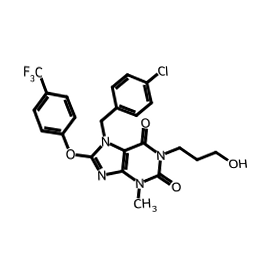 Cn1c(=O)n(CCCO)c(=O)c2c1nc(Oc1ccc(C(F)(F)F)cc1)n2Cc1ccc(Cl)cc1